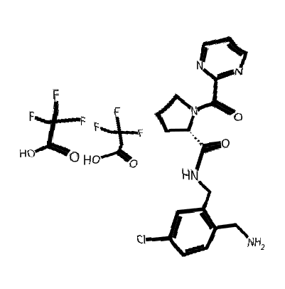 NCc1ccc(Cl)cc1CNC(=O)[C@@H]1CCCN1C(=O)c1ncccn1.O=C(O)C(F)(F)F.O=C(O)C(F)(F)F